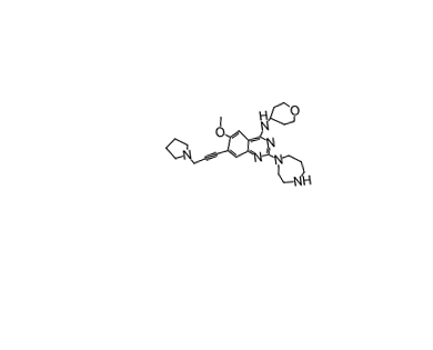 COc1cc2c(NC3CCOCC3)nc(N3CCCNCC3)nc2cc1C#CCN1CCCC1